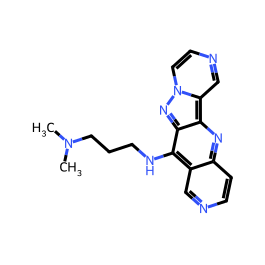 CN(C)CCCNc1c2cnccc2nc2c1nn1ccncc21